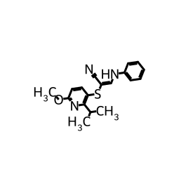 COc1ccc(S/C(C#N)=C/Nc2ccccc2)c(C(C)C)n1